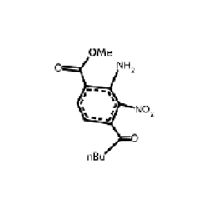 CCCCC(=O)c1ccc(C(=O)OC)c(N)c1[N+](=O)[O-]